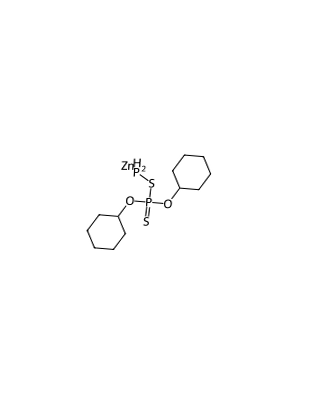 PSP(=S)(OC1CCCCC1)OC1CCCCC1.[Zn]